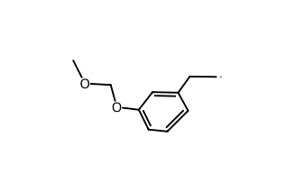 [CH2]Cc1cccc(OCOC)c1